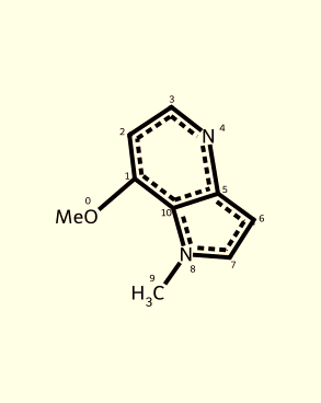 COc1ccnc2[c]cn(C)c12